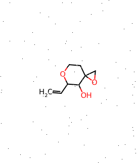 C=CC1OCCC2(CO2)C1O